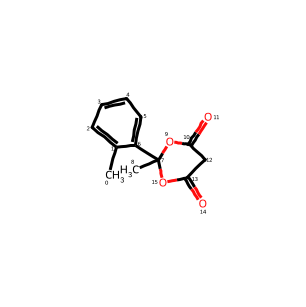 Cc1ccccc1C1(C)OC(=O)CC(=O)O1